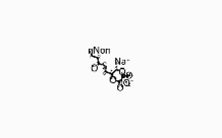 CCCCCCCCCCCC(=O)SCC1COP(=O)([O-])C(=O)O1.[Na+]